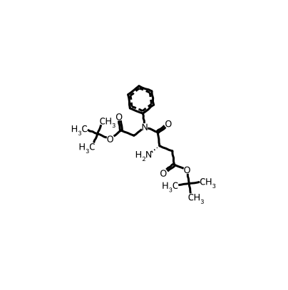 CC(C)(C)OC(=O)C[C@H](N)C(=O)N(CC(=O)OC(C)(C)C)c1ccccc1